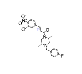 CC1CN(C(=O)/C=C/c2ccc([N+](=O)[O-])c(Cl)c2)C(C)CN1Cc1ccc(F)cc1